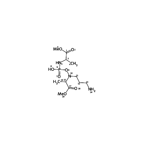 COC(=O)C(C)NP(=O)(O)ON(CCCN)C(C)C(=O)OC